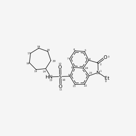 CCN1C(=O)c2cccc3c(S(=O)(=O)NC4CCCCCC4)ccc1c23